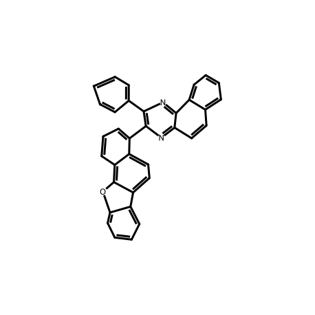 c1ccc(-c2nc3c(ccc4ccccc43)nc2-c2cccc3c2ccc2c4ccccc4oc32)cc1